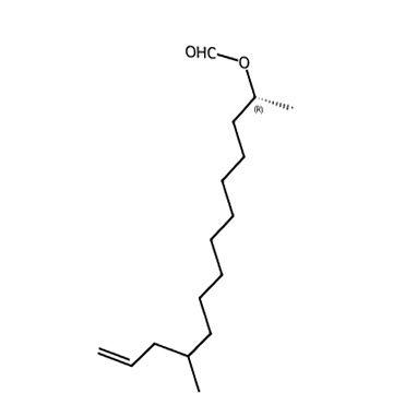 [CH2][C@H](CCCCCCCCC(C)CC=C)OC=O